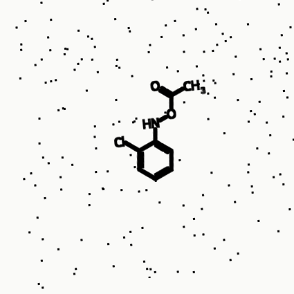 CC(=O)ONc1ccccc1Cl